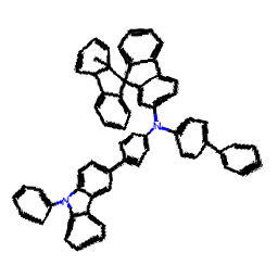 CC12C=CC=CC1c1ccccc1C21c2ccccc2-c2ccc(N(c3ccc(-c4ccccc4)cc3)c3ccc(-c4ccc5c(c4)c4ccccc4n5-c4ccccc4)cc3)cc21